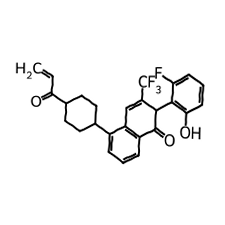 C=CC(=O)C1CCC(c2cccc3c2C=C(C(F)(F)F)C(c2c(O)cccc2F)C3=O)CC1